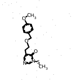 COc1ccc(COCCc2cncn(SC)c2=O)cc1